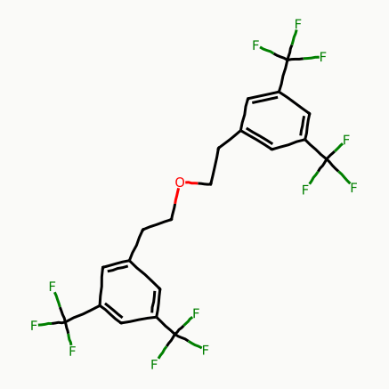 FC(F)(F)c1cc(CCOCCc2cc(C(F)(F)F)cc(C(F)(F)F)c2)cc(C(F)(F)F)c1